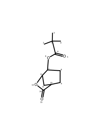 CC(C)(C)C(=O)OC1CCC2CC1OC2=O